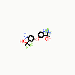 CC(O)(c1cc(Oc2ccc(N)c(C(C)(O)C(F)(F)F)c2)ccc1N)C(F)(F)F